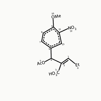 CCC=C(C(=O)O)C(OC(C)=O)c1ccc(OC)c([N+](=O)[O-])c1